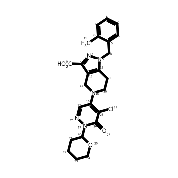 O=C(O)c1nn(Cc2ccccc2C(F)(F)F)c2c1CN(c1cnn(C3CCCCO3)c(=O)c1Cl)CC2